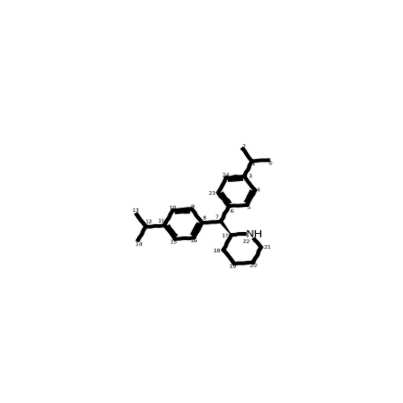 CC(C)c1ccc(C(c2ccc(C(C)C)cc2)[C@@H]2CCCCN2)cc1